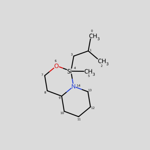 CC(C)C[Si]1(C)OCCC2CCCCN21